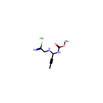 Br.CC#CC(NCC(=N)F)NC(=O)OCCCC